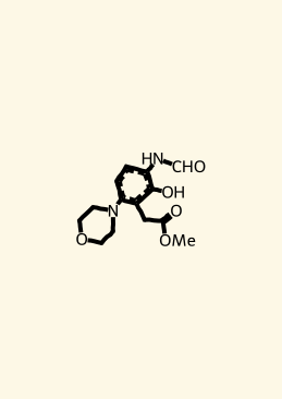 COC(=O)Cc1c(N2CCOCC2)ccc(NC=O)c1O